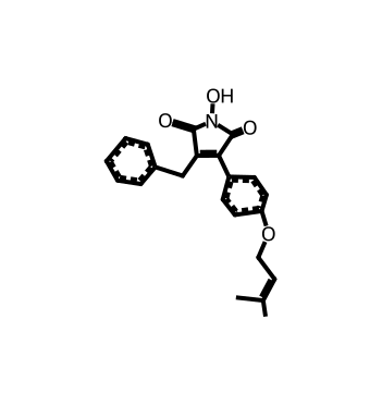 CC(C)=CCOc1ccc(C2=C(Cc3ccccc3)C(=O)N(O)C2=O)cc1